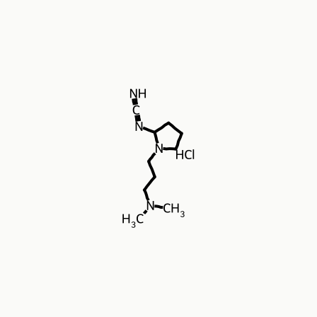 CN(C)CCCN1CCCC1N=C=N.Cl